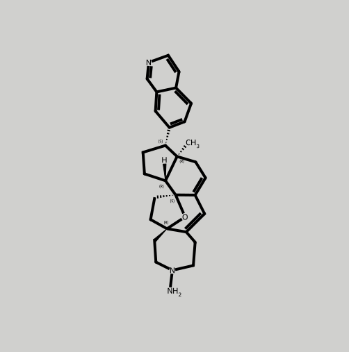 C[C@]12CC=C3C=C4CCN(N)CC[C@]45CC[C@]3(O5)[C@@H]1CC[C@@H]2c1ccc2ccncc2c1